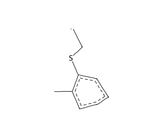 [CH2]CSc1ccccc1C